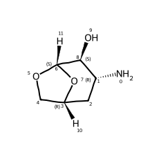 N[C@@H]1C[C@@H]2CO[C@@H](O2)[C@H]1O